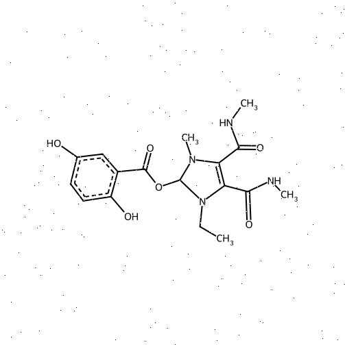 CCN1C(C(=O)NC)=C(C(=O)NC)N(C)C1OC(=O)c1cc(O)ccc1O